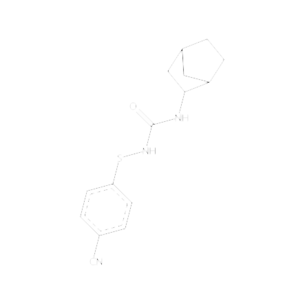 N#Cc1ccc(SNC(=O)NC2CC3CCC2C3)cc1